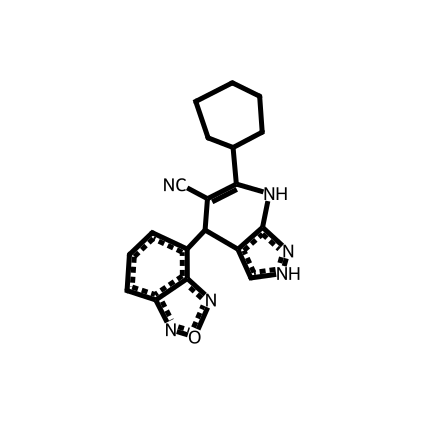 N#CC1=C(C2CCCCC2)Nc2n[nH]cc2C1c1cccc2nonc12